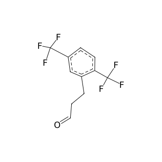 O=CCCc1cc(C(F)(F)F)ccc1C(F)(F)F